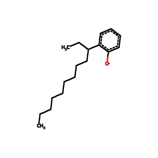 CCCCCCCCCC(CC)c1ccccc1[O]